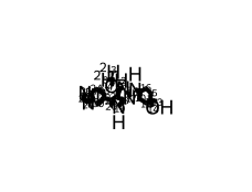 [2H]C([2H])([2H])Oc1nc(NC2CCC(C)(O)CC2)nc2[nH]cc(-c3ccc4ncnn4c3)c12